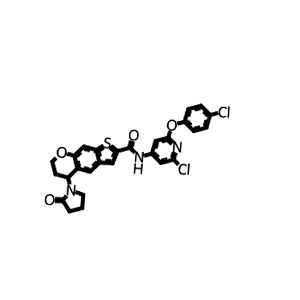 O=C(Nc1cc(Cl)nc(Oc2ccc(Cl)cc2)c1)c1cc2cc3c(cc2s1)OCCC3N1CCCC1=O